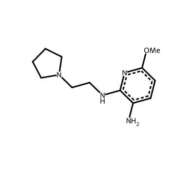 COc1ccc(N)c(NCCN2CCCC2)n1